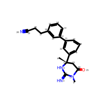 CN1C(=N)N[C@](C)(c2cccc(-c3cccc(CCC#N)c3)c2)CC1=O